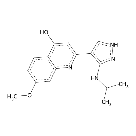 COc1ccc2c(O)cc(-c3c[nH]nc3NC(C)C)nc2c1